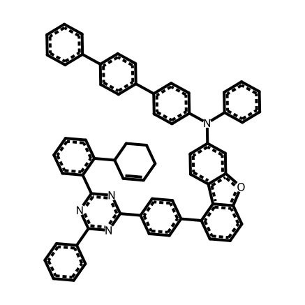 C1=CC(c2ccccc2-c2nc(-c3ccccc3)nc(-c3ccc(-c4cccc5oc6cc(N(c7ccccc7)c7ccc(-c8ccc(-c9ccccc9)cc8)cc7)ccc6c45)cc3)n2)CCC1